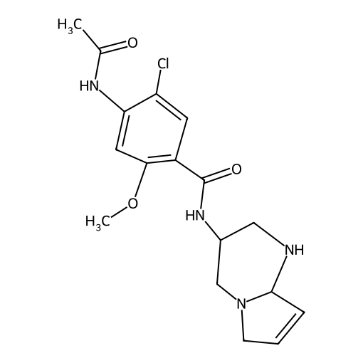 COc1cc(NC(C)=O)c(Cl)cc1C(=O)NC1CNC2C=CCN2C1